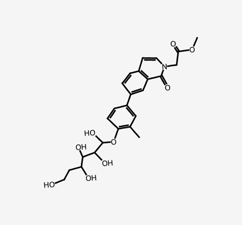 COC(=O)Cn1ccc2ccc(-c3ccc(OC(O)C(O)C(O)C(O)CCO)c(C)c3)cc2c1=O